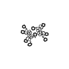 O=C(OCc1ccccc1)C(Cc1ccccc1)N(C(=O)Oc1ccc(OC(=O)N(C(Cc2ccccc2)C(=O)OCc2ccccc2)C(Cc2ccccc2)C(=O)OCc2ccccc2)nc1)C(Cc1ccccc1)C(=O)OCc1ccccc1